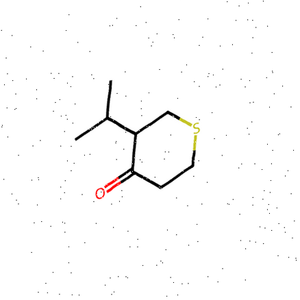 CC(C)C1CSCCC1=O